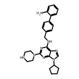 Nc1ccccc1-c1ccc(CNc2nc(N3CCNCC3)nc3c2ncn3C2CCCC2)cc1